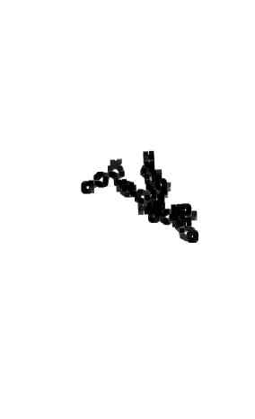 CC1(C)CCC(CN2CCN(c3ccc(C(=O)NS(=O)(=O)c4ccc(NCC5CCOCC5)c([N+](=O)[O-])c4)c(N4CC(F)(F)Oc5nc6[nH]ccc6cc54)c3)CC2)=C(c2ccc(Cl)cc2)C1